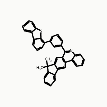 CC1(C)c2ccccc2-c2cc3c(cc21)c(-c1cccc(-c2cccc4c2sc2ccccc24)c1)nc1ccccc13